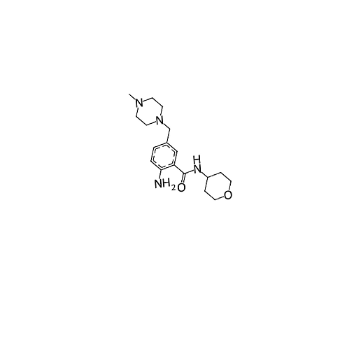 CN1CCN(Cc2ccc(N)c(C(=O)NC3CCOCC3)c2)CC1